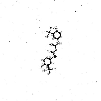 O=C(CC(=O)Nc1ccc(Cl)c(C(F)(F)F)c1)Nc1ccc(Cl)c(C(F)(F)F)c1